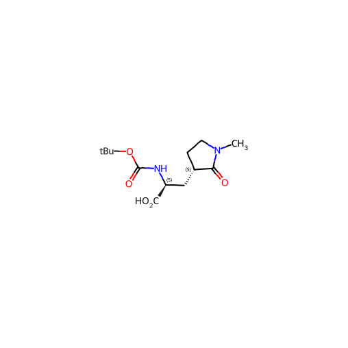 CN1CC[C@@H](C[C@H](NC(=O)OC(C)(C)C)C(=O)O)C1=O